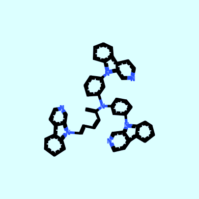 C=C(/C=C\C=C\n1c2ccccc2c2ccncc21)N(c1cccc(-n2c3ccccc3c3ccncc32)c1)c1cccc(-n2c3ccccc3c3ccncc32)c1